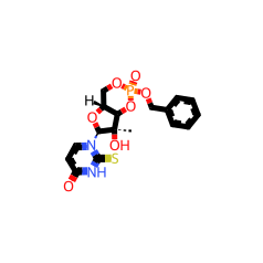 C[C@@]1(O)C2OP(=O)(OCc3ccccc3)OC[C@H]2O[C@H]1n1ccc(=O)[nH]c1=S